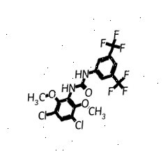 COc1c(Cl)cc(Cl)c(OC)c1NC(=O)Nc1cc(C(F)(F)F)cc(C(F)(F)F)c1